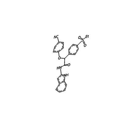 CCS(=O)(=O)c1ccc(C(Oc2ccc(C#N)cc2)C(=O)Nc2cc3ccccc3[nH]2)cc1